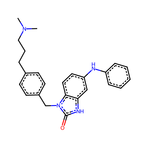 CN(C)CCCc1ccc(Cn2c(=O)[nH]c3cc(Nc4ccccc4)ccc32)cc1